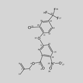 C=C(C)COC(=O)c1cc(Oc2ccc(C(F)(F)F)cc2Cl)ccc1[N+](=O)[O-]